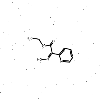 CCOC(=O)C(=NO)c1ccccn1